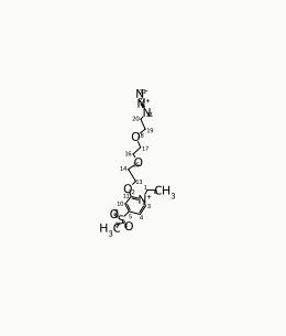 CC[n+]1ccc(S(C)(=O)=O)cc1OCCOCCOCCN=[N+]=[N-]